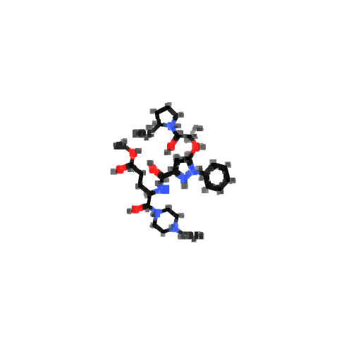 CCOC(=O)N1CCN(C(=O)C(CCC(=O)OC(C)(C)C)NC(=O)c2cc(O[C@@H](C)C(=O)N3CCCC3C(=O)O)n(-c3ccccc3)n2)CC1